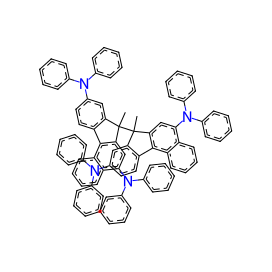 CC1(C2(C)c3cc(N(c4ccccc4)c4ccccc4)ccc3-c3c2cc(N(c2ccccc2)c2ccccc2)c2ccccc32)c2cc(N(c3ccccc3)c3ccccc3)ccc2-c2c1cc(N(c1ccccc1)c1ccccc1)c1ccccc21